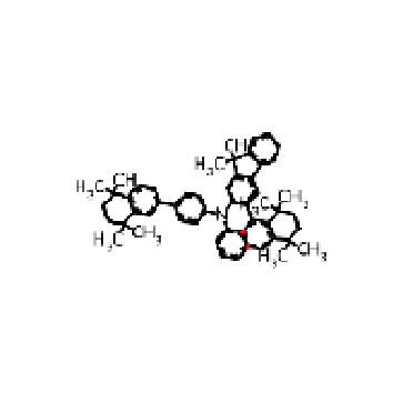 CC1(C)CCC(C)(C)c2cc(-c3ccc(N(c4ccccc4)c4cc5c(cc4-c4cccc6c4C(C)(C)CCC6(C)C)-c4ccccc4C5(C)C)cc3)ccc21